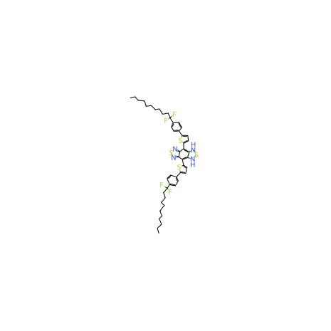 CCCCCCCCCCC(F)(F)c1ccc(-c2ccc(-c3c4c(c(-c5ccc(-c6ccc(C(F)(F)CCCCCCCCCC)cc6)s5)c5nsnc35)NSN4)s2)cc1